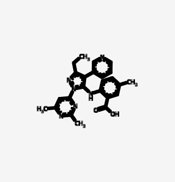 CCc1nn(-c2cc(C)nc(C)n2)c(Nc2ccc(C)cc2C(=O)O)c1-c1cccnc1